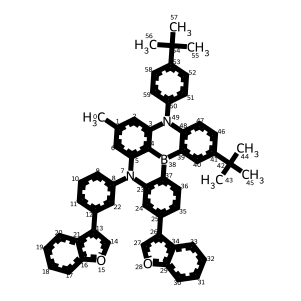 Cc1cc2c3c(c1)N(c1cccc(-c4coc5ccccc45)c1)c1cc(-c4coc5ccccc45)ccc1B3c1cc(C(C)(C)C)ccc1N2c1ccc(C(C)(C)C)cc1